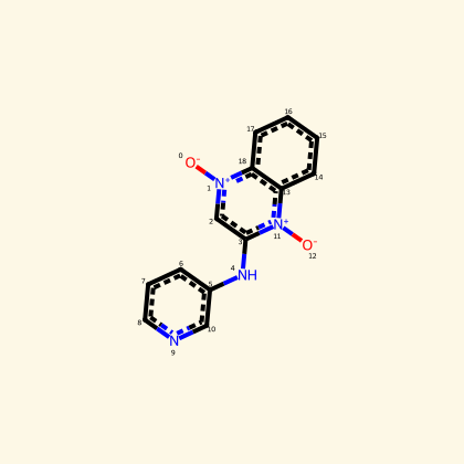 [O-][n+]1cc(Nc2cccnc2)[n+]([O-])c2ccccc21